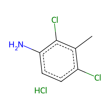 Cc1c(Cl)ccc(N)c1Cl.Cl